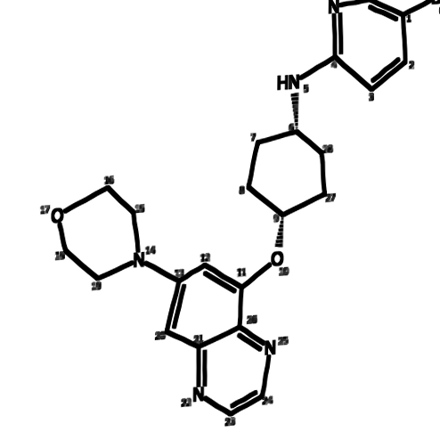 Brc1ccc(N[C@H]2CC[C@@H](Oc3cc(N4CCOCC4)cc4nccnc34)CC2)nc1